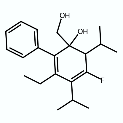 CCC1=C(c2ccccc2)C(O)(CO)C(C(C)C)C(F)=C1C(C)C